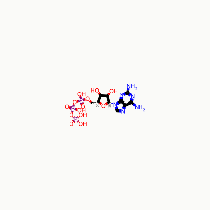 Nc1nc(N)c2ncn([C@@H]3O[C@H](COP(=O)(O)OP(=O)(O)OP(=O)(O)O)C(O)C3O)c2n1